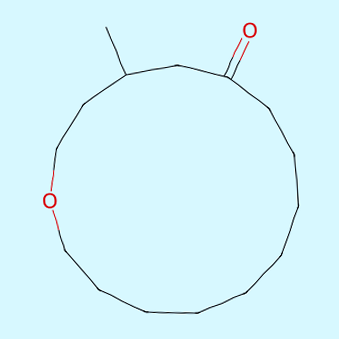 CC1CCOCCCCCCCCCC(=O)C1